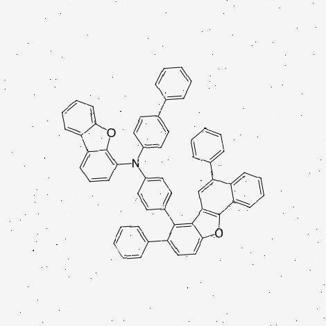 c1ccc(-c2ccc(N(c3ccc(-c4c(-c5ccccc5)ccc5oc6c7ccccc7c(-c7ccccc7)cc6c45)cc3)c3cccc4c3oc3ccccc34)cc2)cc1